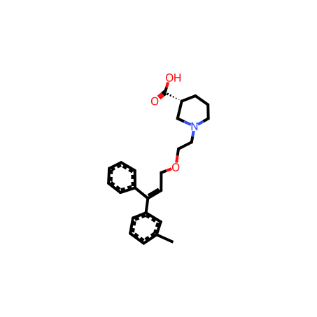 Cc1cccc(C(=CCOCCN2CCC[C@@H](C(=O)O)C2)c2ccccc2)c1